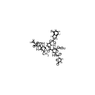 C=CC1C[C@]1(NC(=O)[C@@H]1CC(OC(=O)N2Cc3cccc(F)c3C2)CN1C(=O)[C@H](CCNC(=O)[C@@H]1CCC(=O)O1)NC(=O)OC(C)(C)C)C(=O)NS(=O)(=O)C1CC1